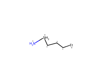 CCCCC[SiH2]N